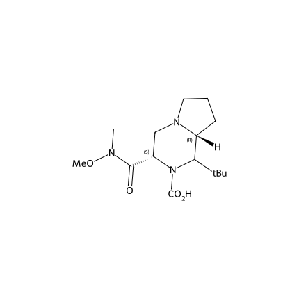 CON(C)C(=O)[C@@H]1CN2CCC[C@@H]2C(C(C)(C)C)N1C(=O)O